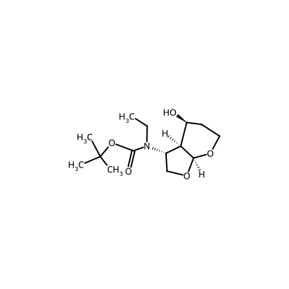 CCN(C(=O)OC(C)(C)C)[C@H]1CO[C@@H]2OCC[C@H](O)[C@@H]21